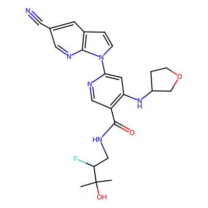 CC(C)(O)C(F)CNC(=O)c1cnc(-n2ccc3cc(C#N)cnc32)cc1NC1CCOC1